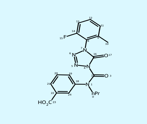 CCCN(C(=O)n1nnn(-c2c(C)cccc2F)c1=O)c1cccc(C(=O)O)c1